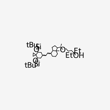 CCC(O)(CC)CCCO[C@H](C)C1CCC2C(=CC=C3C[C@@H](O[Si](C)(C)C(C)(C)C)C4(CC4)[C@H](O[Si](C)(C)C(C)(C)C)C3)CCCC21C